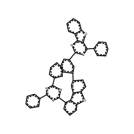 c1ccc(-c2nc(-c3ccccc3)nc(-c3cccc4oc5ccc(-c6cccc(-c7nc(-c8ccccc8)c8oc9ccccc9c8n7)c6)cc5c34)n2)cc1